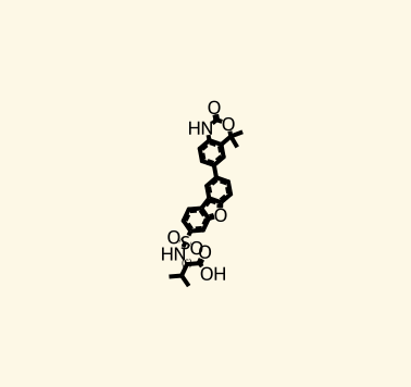 CC(C)[C@H](NS(=O)(=O)c1ccc2c(c1)oc1ccc(-c3ccc4c(c3)C(C)(C)OC(=O)N4)cc12)C(=O)O